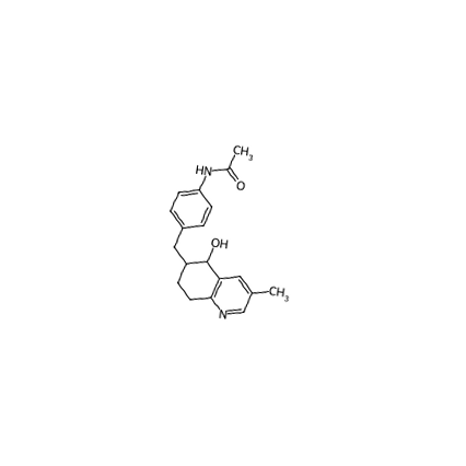 CC(=O)Nc1ccc(CC2CCc3ncc(C)cc3C2O)cc1